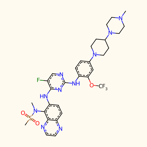 CN1CCN(C2CCN(c3ccc(Nc4ncc(F)c(Nc5ccc6nccnc6c5N(C)S(C)(=O)=O)n4)c(OC(F)(F)F)c3)CC2)CC1